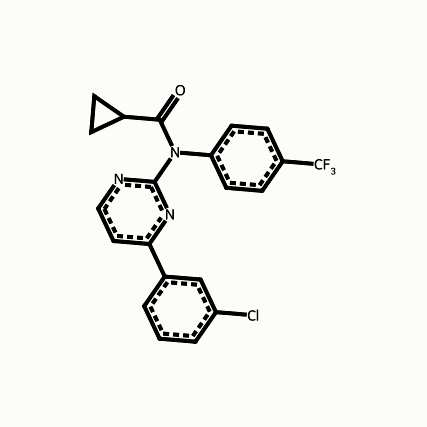 O=C(C1CC1)N(c1ccc(C(F)(F)F)cc1)c1nccc(-c2cccc(Cl)c2)n1